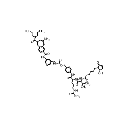 CCCN(CCC)C(=O)C1=Cc2ccc(C(=O)Nc3cncc(CNC(=O)OCc4ccc(NC(=O)C(CCCNC(N)=O)NC(=O)C(NC(=O)CCCCCN5C(=O)C=CC5O)C(C)C)cc4)c3)cc2N=C(N)C1